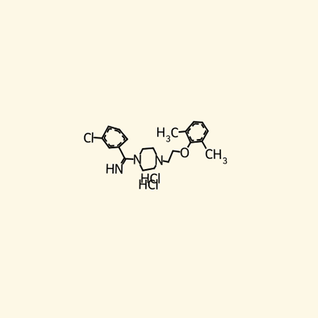 Cc1cccc(C)c1OCCN1CCN(C(=N)c2cccc(Cl)c2)CC1.Cl.Cl